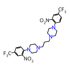 O=[N+]([O-])c1cc(C(F)(F)F)ccc1N1CCN(CCCN2CCN(c3ccc(C(F)(F)F)cc3[N+](=O)[O-])CC2)CC1